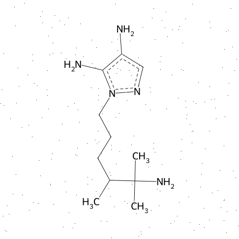 CC(CCCn1ncc(N)c1N)C(C)(C)N